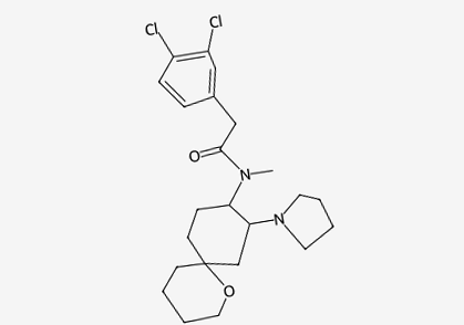 CN(C(=O)Cc1ccc(Cl)c(Cl)c1)C1CCC2(CCCCO2)CC1N1CCCC1